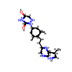 Cc1cc(-n2ncc(=O)[nH]c2=O)cc(C)c1CCc1cnc2[nH]cc(C(C)C)c2n1